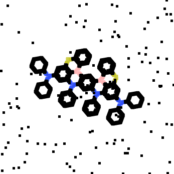 c1ccc(N2c3cc4c(cc3B3c5ccccc5Sc5cc(N(C6CCCCC6)C6CCCCC6)cc2c53)B2c3ccccc3Sc3cc(N(C5CCCCC5)C5CCCCC5)cc(c32)N4c2ccccc2)cc1